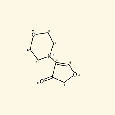 O=C1COC=C1N1CCOCC1